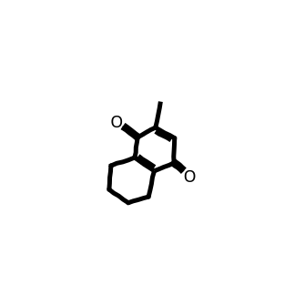 CC1=CC(=O)C2=C(CCCC2)C1=O